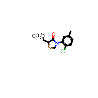 Cc1ccc(Cl)c(N2CSC(CC(=O)O)C2=O)c1